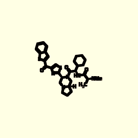 CN[C@@H](C)C(=O)N[C@H](C(=O)N1C[C@H]2CCCN2C[C@H]1c1nc(C(=O)c2cc3ccccc3s2)cs1)C1CCCCC1